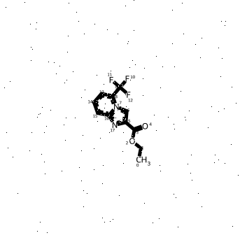 CCOC(=O)c1cn2c(C(F)(F)F)cccc2n1